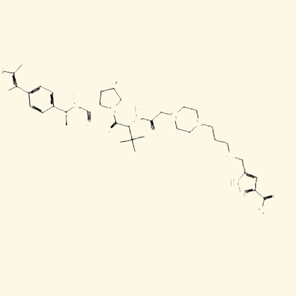 Cc1ncsc1-c1ccc([C@H](C)NC(=O)[C@@H]2C[C@@H](O)CN2C(=O)[C@@H](NC(=O)CN2CCN(CCCOCc3cc(C(N)=O)n[nH]3)CC2)C(C)(C)C)cc1